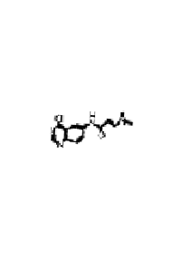 CN(C)C=CC(=O)Nc1ccc2ncnc(Cl)c2c1